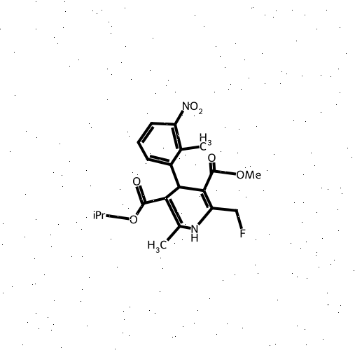 COC(=O)C1=C(CF)NC(C)=C(C(=O)OC(C)C)C1c1cccc([N+](=O)[O-])c1C